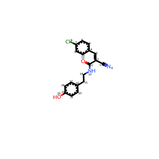 N#CC(=Cc1ccc(Cl)cc1)C(=O)NCCc1ccc(O)cc1